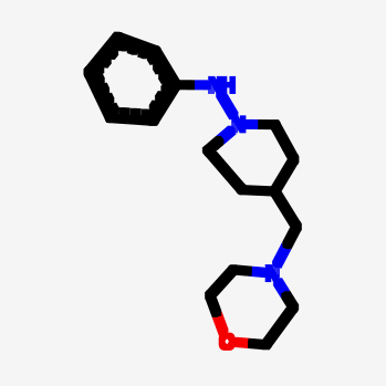 c1ccc(NN2CCC(CN3CCOCC3)CC2)cc1